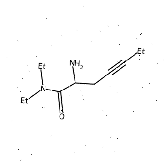 CCC#CCC(N)C(=O)N(CC)CC